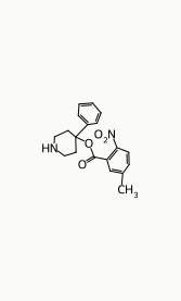 Cc1ccc([N+](=O)[O-])c(C(=O)OC2(c3ccccc3)CCNCC2)c1